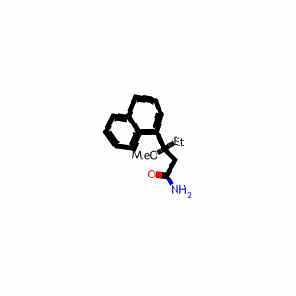 CCC(CC(N)=O)(OC)c1cccc2ccccc12